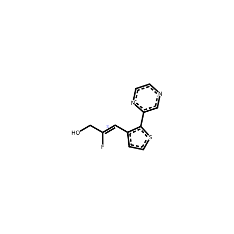 OC/C(F)=C/c1ccsc1-c1cnccn1